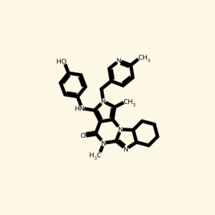 Cc1ccc(Cn2c(C)c3c(c2Nc2ccc(O)cc2)C(=O)N(C)C2=NC4CCCCC4N23)cn1